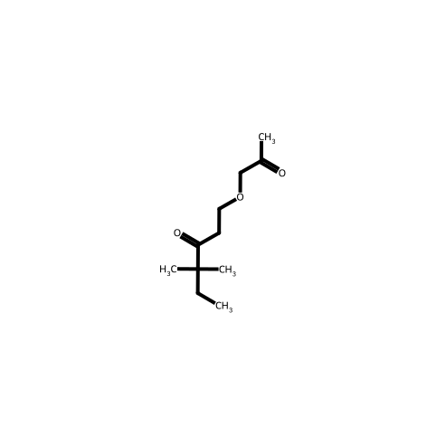 CCC(C)(C)C(=O)CCOCC(C)=O